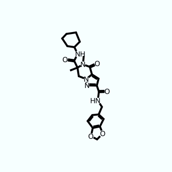 CN1C(=O)c2cc(C(=O)NCc3ccc4c(c3)OCO4)nn2CC1(C)C(=O)NC1CCCCC1